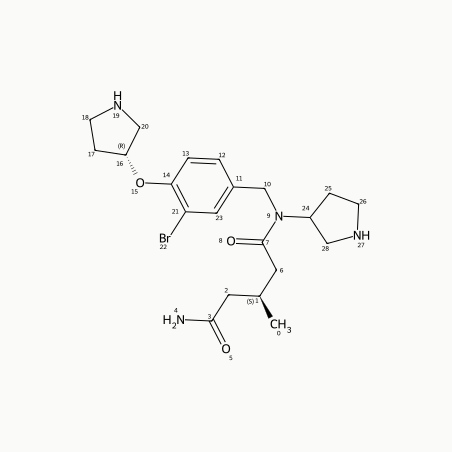 C[C@@H](CC(N)=O)CC(=O)N(Cc1ccc(O[C@@H]2CCNC2)c(Br)c1)C1CCNC1